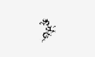 CCC=C(OS(C)(=O)=O)[C@H]1O[C@@H](n2ccc(N)nc2=O)[C@H](O)[C@@H]1O